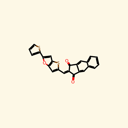 O=C1C(=Cc2cc3oc(-c4cccs4)cc3s2)C(=O)c2cc3ccccc3cc21